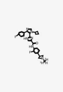 [2H]C([2H])([2H])N1CC(c2ccc(NC(=O)c3c[nH]c(-c4c(-c5ccc(F)cc5)ncn4C4CCC4)n3)c(F)c2)C1